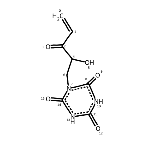 C=CC(=O)C(O)Cn1c(=O)[nH]c(=O)[nH]c1=O